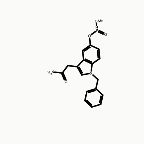 CO[PH](=O)Oc1ccc2c(c1)c(CC(N)=O)cn2Cc1ccccc1